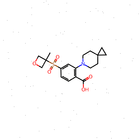 CC1(S(=O)(=O)c2ccc(C(=O)O)c(N3CCC4(CC3)CC4)c2)COC1